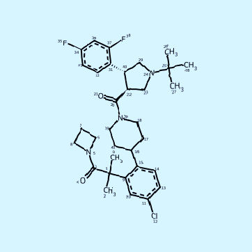 CC(C)(C(=O)N1CCC1)c1cc(Cl)ccc1C1CCN(C(=O)[C@@H]2CN(C(C)(C)C)C[C@H]2c2ccc(F)cc2F)CC1